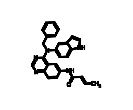 CC=CC(=O)Nc1ccc2ncnc(N(Cc3ccccc3)c3ccc4[nH]ccc4c3)c2c1